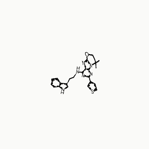 CC1(C)COc2nc3c(NCCc4c[nH]c5ccccc45)nc(-c4ccsc4)nc3n21